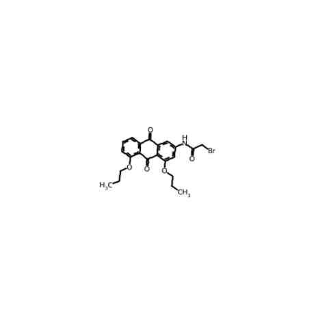 CCCOc1cccc2c1C(=O)c1c(OCCC)cc(NC(=O)CBr)cc1C2=O